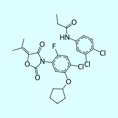 CC(C)=C1OC(=O)N(c2cc(OC3CCCC3)c(Cl)cc2F)C1=O.CCC(=O)Nc1ccc(Cl)c(Cl)c1